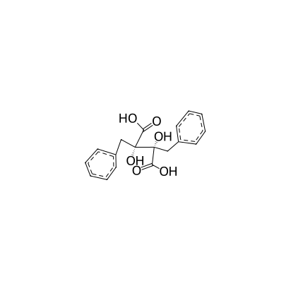 O=C(O)[C@](O)(Cc1ccccc1)[C@@](O)(Cc1ccccc1)C(=O)O